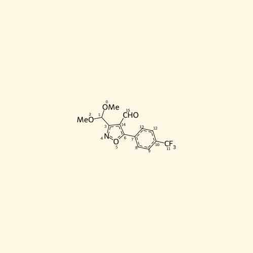 COC(OC)c1noc(-c2ccc(C(F)(F)F)cc2)c1C=O